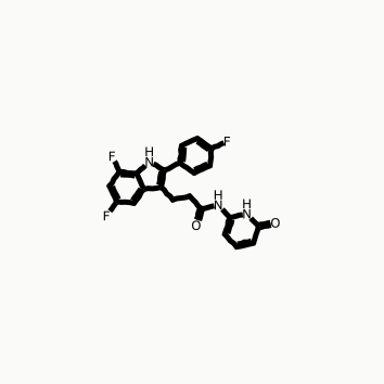 O=C(CCc1c(-c2ccc(F)cc2)[nH]c2c(F)cc(F)cc12)Nc1cccc(=O)[nH]1